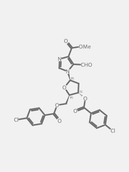 COC(=O)c1ncn([C@H]2C[C@H](OC(=O)c3ccc(Cl)cc3)[C@@H](COC(=O)c3ccc(Cl)cc3)O2)c1C=O